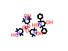 CC1(C)CC(OP(OC2CC(C)(C)N(O)C(C)(C)C2)OC2CC(C)(C)N(O)C(C)(C)C2)CC(C)(C)N1O.CC1(c2ccccc2)CC(O)CC(C)(c2ccccc2)N1O